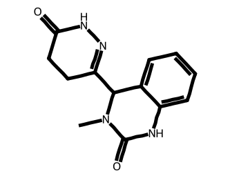 CN1C(=O)Nc2ccccc2C1C1=NNC(=O)CC1